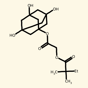 CCC(C)(C)C(=O)OCC(=O)OC12CC3(O)CC(O)(CC(O)(C3)C1)C2